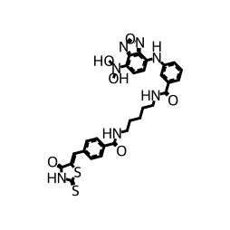 O=C1NC(=S)S/C1=C\c1ccc(C(=O)NCCCCCNC(=O)c2cccc(Nc3ccc(N(O)O)c4nonc34)c2)cc1